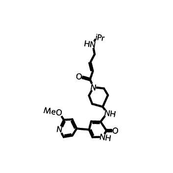 COc1cc(-c2c[nH]c(=O)c(NC3CCN(C(=O)C=CCNC(C)C)CC3)c2)ccn1